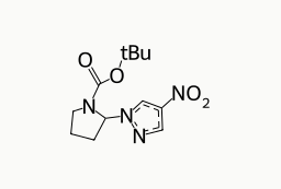 CC(C)(C)OC(=O)N1CCCC1n1cc([N+](=O)[O-])cn1